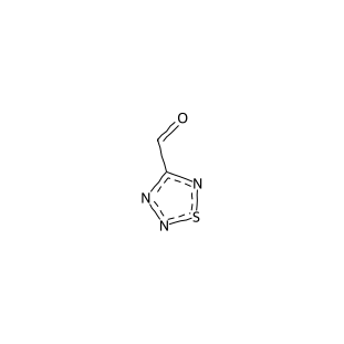 O=Cc1nnsn1